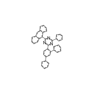 c1ccc(-c2ccc(-c3nc(-c4ccccc4)nc(-c4c5ccccc5cc5ccccc45)n3)c(-c3ccccc3)c2)cc1